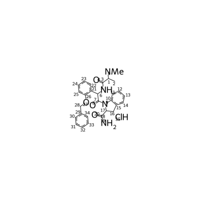 CNC(C)C(=O)NC(C(=O)N1c2ccccc2CC1C(N)=O)c1ccccc1OCc1ccccc1.Cl